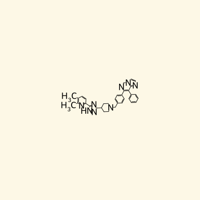 Cc1ccc(-c2nc(C3CCN(Cc4ccc(-c5ncn6ccnc6c5-c5ccccc5)cc4)CC3)n[nH]2)nc1C